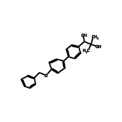 CC(C)(O)C(O)c1ccc(-c2ccc(OCc3ccccc3)cc2)cc1